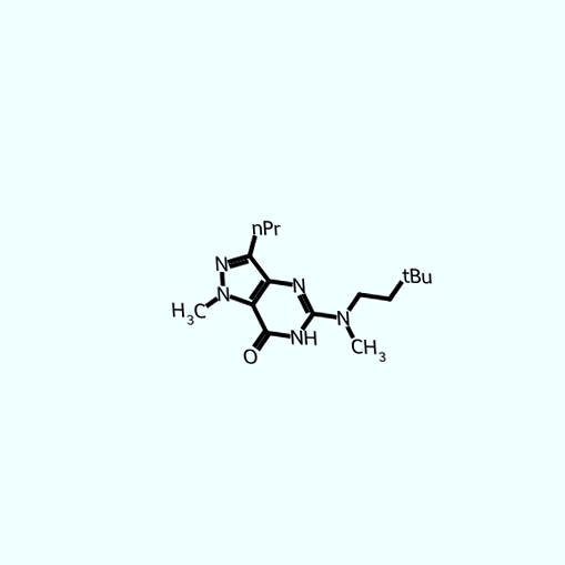 CCCc1nn(C)c2c(=O)[nH]c(N(C)CCC(C)(C)C)nc12